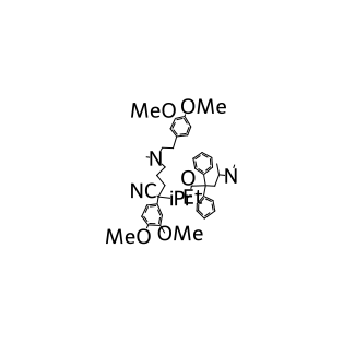 CCC(=O)C(CC(C)N(C)C)(c1ccccc1)c1ccccc1.COc1ccc(CCN(C)CCCC(C#N)(c2ccc(OC)c(OC)c2)C(C)C)cc1OC